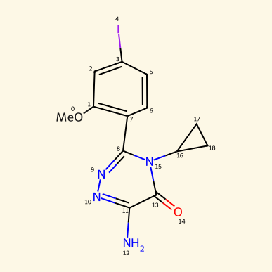 COc1cc(I)ccc1-c1nnc(N)c(=O)n1C1CC1